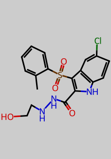 Cc1ccccc1S(=O)(=O)c1c(C(=O)NNCCO)[nH]c2ccc(Cl)cc12